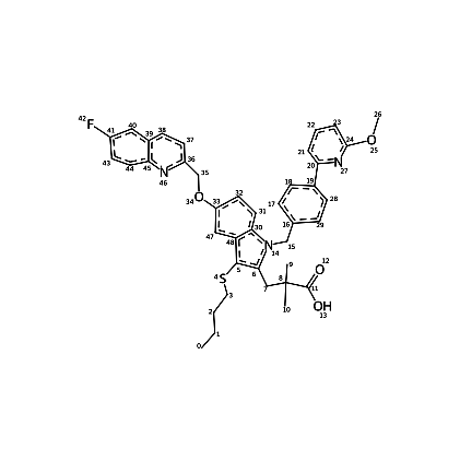 CCCCSc1c(CC(C)(C)C(=O)O)n(Cc2ccc(-c3cccc(OC)n3)cc2)c2ccc(OCc3ccc4cc(F)ccc4n3)cc12